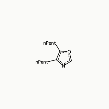 CCCCCc1n[c]oc1CCCCC